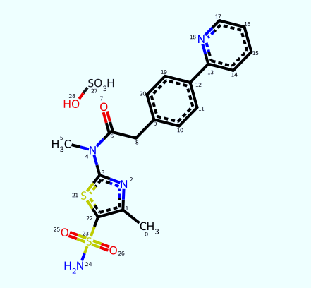 Cc1nc(N(C)C(=O)Cc2ccc(-c3ccccn3)cc2)sc1S(N)(=O)=O.O=S(=O)(O)O